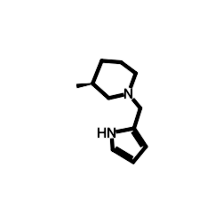 C[C@H]1CCCN(Cc2ccc[nH]2)C1